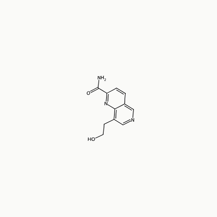 NC(=O)c1ccc2cncc(CCO)c2n1